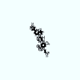 COc1cc(N(C)CCN(C)C)c([N+](=O)[O-])cc1Nc1cc(N2CC(C)(C)c3nc(-c4cnn(C)c4)ccc32)ncn1